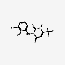 Cn1c(C(F)(F)F)cc(=O)n(Nc2cccc(Cl)c2Cl)c1=O